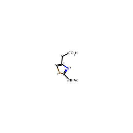 CC(=O)Nc1nc(CC(=O)O)cs1